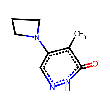 O=c1[nH]ncc(N2CCC2)c1C(F)(F)F